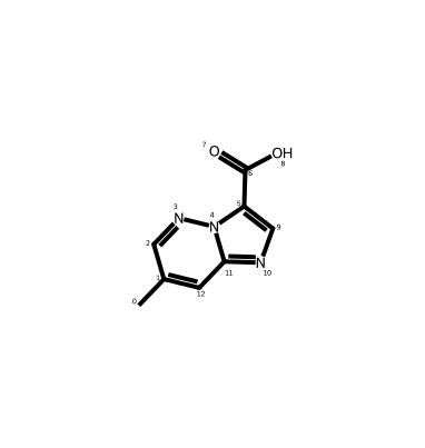 Cc1cnn2c(C(=O)O)cnc2c1